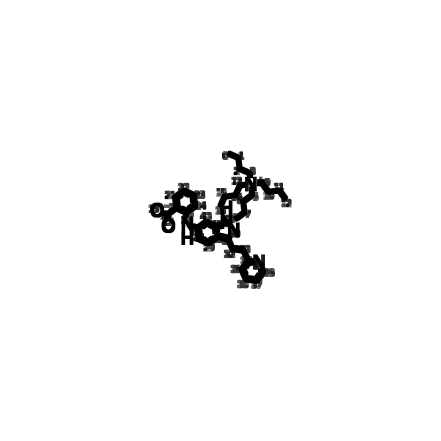 CCCC[N+](CCCC)(CCCC)CCCC.O=C([O-])c1ccccc1Nc1ccc2c(C=Cc3ccccn3)n[nH]c2c1